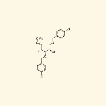 CON=C[C@@H](F)[C@H](OCc1ccc(Cl)cc1)[C@H](O)COCc1ccc(Cl)cc1